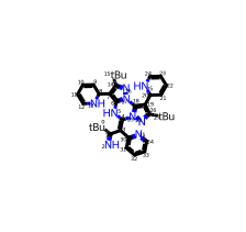 CC(C)(C)C(=N)/C(=C1\Nc2c(C3C=CC=CN3)c(C(C)(C)C)nn2-c2c(C3C=CC=CN3)c(C(C)(C)C)nn21)c1ccccn1